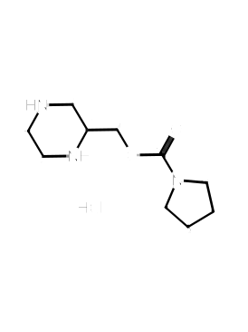 Cl.O=C(OCC1CNCCN1)N1CCCC1